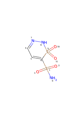 NS(=O)(=O)C1=CC=NNS1(=O)=O